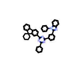 c1ccc(-c2nc(-c3cccc(-c4nc5ccccc5n4-c4ccccc4)c3)nc(-c3ccc4c(c3)C3(CCCCC3)c3ccccc3-4)n2)cc1